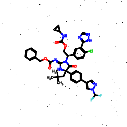 CC(C)(C)CC1(c2ccc(-c3cnn(C(F)F)c3)cc2)NC(=NC(=O)OCc2ccccc2)N(C(COC(=O)NC2CC2)c2ccc(Cl)c(-c3ncn[nH]3)c2)C1=O